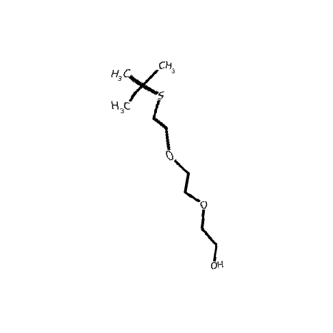 CC(C)(C)SCCOCCOCCO